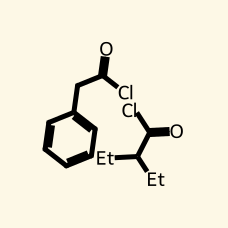 CCC(CC)C(=O)Cl.O=C(Cl)Cc1ccccc1